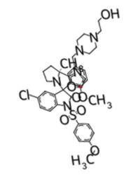 COc1ccc(S(=O)(=O)N2C(=O)C(c3cc(CN4CCN(CCO)CC4)ccc3OC)(N3CCC[C@@]3(C)c3ncco3)c3cc(Cl)ccc32)cc1